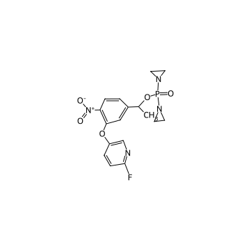 CC(OP(=O)(N1CC1)N1CC1)c1ccc([N+](=O)[O-])c(Oc2ccc(F)nc2)c1